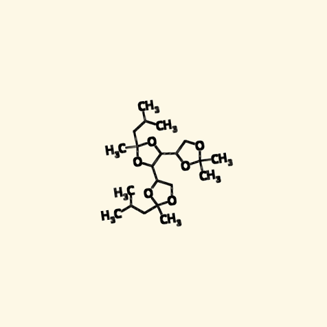 CC(C)CC1(C)OCC(C2OC(C)(CC(C)C)OC2C2COC(C)(C)O2)O1